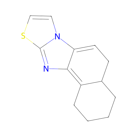 C1=c2c(nc3sccn23)=C2CCCCC2C1